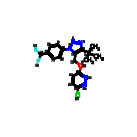 C[Si](C)(C)c1nnn(-c2ccc(C(F)F)cc2)c1COc1ccc(Cl)nn1